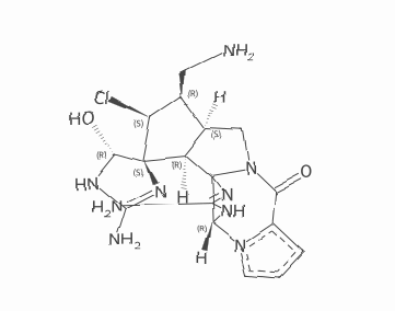 NC[C@H]1[C@H]2CN3C(=O)c4cccn4[C@H]4NC(N)=NC43[C@H]2[C@@]2(N=C(N)N[C@@H]2O)[C@H]1Cl